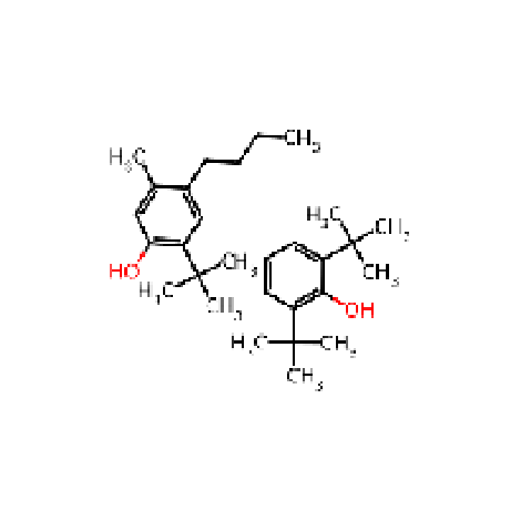 CC(C)(C)c1cccc(C(C)(C)C)c1O.CCCCc1cc(C(C)(C)C)c(O)cc1C